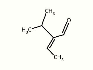 CC=C(C=O)C(C)C